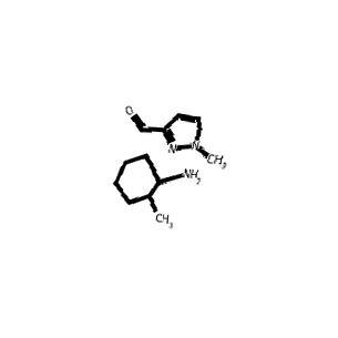 CC1CCCCC1N.Cn1ccc(C=O)n1